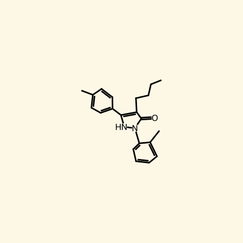 CCCCc1c(-c2ccc(C)cc2)[nH]n(-c2ccccc2C)c1=O